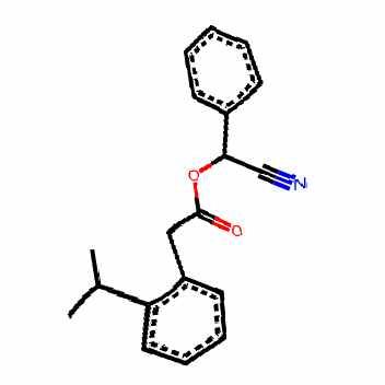 CC(C)c1ccccc1CC(=O)OC(C#N)c1ccccc1